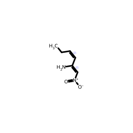 CC/C=C\C(N)=C\[N+](=O)[O-]